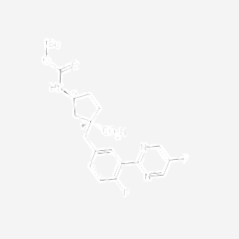 CC(C)(C)OC(=O)N[C@H]1CC[C@](Cc2ccc(F)c(-c3ncc(F)cn3)c2)(C(=O)O)C1